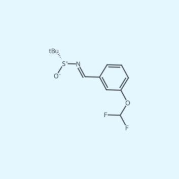 CC(C)(C)[S@@+]([O-])/N=C/c1cccc(OC(F)F)c1